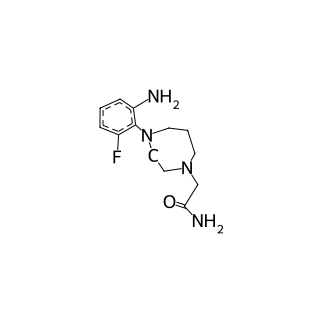 NC(=O)CN1CCCN(c2c(N)cccc2F)CC1